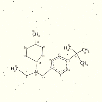 CCN(Cc1ccc(C(C)(C)C)cc1)[C@H]1CC[C@@H](C)CC1